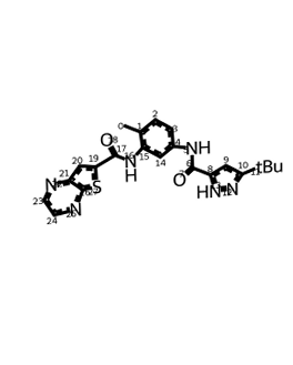 Cc1ccc(NC(=O)c2cc(C(C)(C)C)n[nH]2)cc1NC(=O)c1cc2nccnc2s1